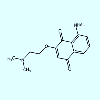 CC(=O)Nc1cccc2c1C(=O)C(OCCN(C)C)=CC2=O